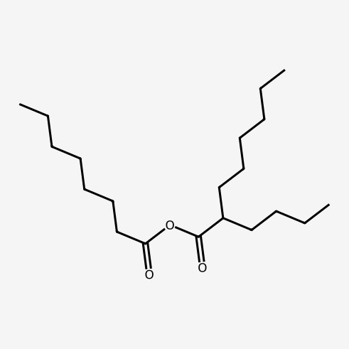 CCCCCCCC(=O)OC(=O)C(CCCC)CCCCCC